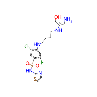 NC[C@@H](CO)NCCCCNc1cc(F)c(S(=O)(=O)Nc2nccs2)cc1Cl